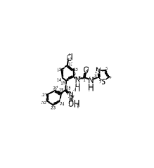 O=C(Nc1nccs1)Nc1cc(Cl)ccc1C(=NO)c1ccccc1